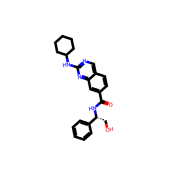 O=C(N[C@H](CO)c1ccccc1)c1ccc2cnc(NC3CCCCC3)nc2c1